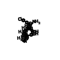 CC(NC(=O)[C@@H]1Cc2ccc(O)c(c2)-c2cc(ccc2O)[C@H](N(C)C(=O)[C@H](CCCCN)NC(=O)c2ccc(-c3ccc(Cl)cc3)cc2)C(O)N[C@@H](C)C(=O)N1)C(=O)c1ncco1